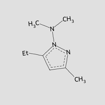 CCc1cc(C)nn1N(C)C